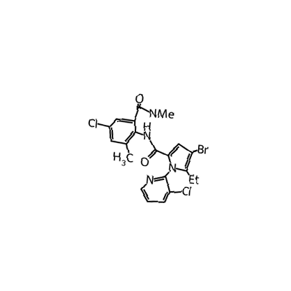 CCc1c(Br)cc(C(=O)Nc2c(C)cc(Cl)cc2C(=O)NC)n1-c1ncccc1Cl